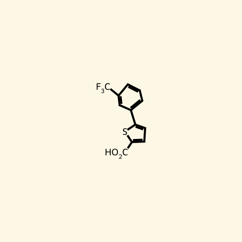 O=C(O)c1ccc(-c2cccc(C(F)(F)F)c2)s1